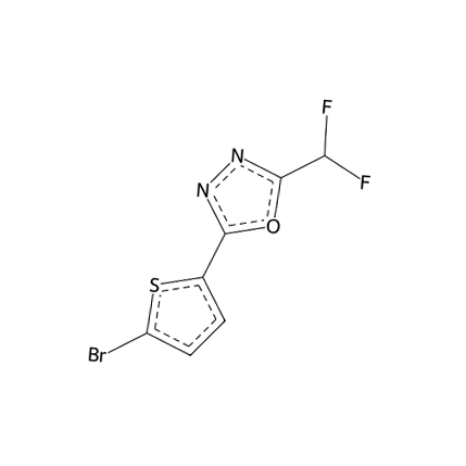 FC(F)c1nnc(-c2ccc(Br)s2)o1